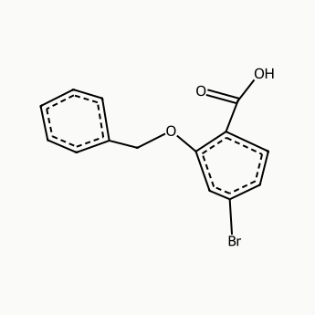 O=C(O)c1ccc(Br)cc1OCc1ccccc1